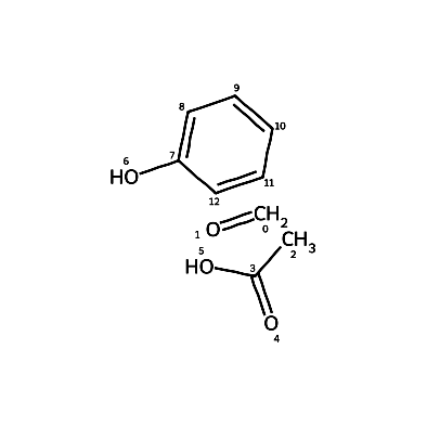 C=O.CC(=O)O.Oc1ccccc1